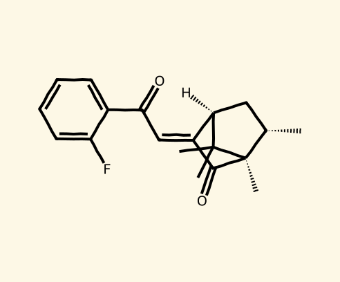 C[C@H]1C[C@@H]2C(=CC(=O)c3ccccc3F)C(=O)[C@@]1(C)C2(C)C